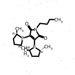 CCCCN1C(=O)C(P2[C@H](C)CC[C@H]2C)=C(P2[C@H](C)CC[C@H]2C)C1=O